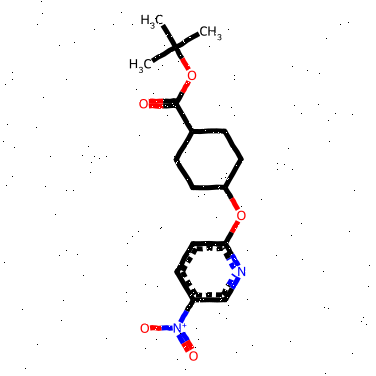 CC(C)(C)OC(=O)C1CCC(Oc2ccc([N+](=O)[O-])cn2)CC1